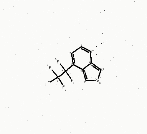 FC(F)(F)C(F)(F)c1cccc2[c]scc12